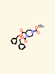 CC(C)(C)OC(=O)N1CCC(C(=O)OCc2ccccc2)N(C(=O)OCc2ccccc2)CC1